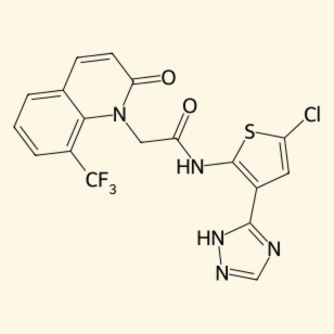 O=C(Cn1c(=O)ccc2cccc(C(F)(F)F)c21)Nc1sc(Cl)cc1-c1ncn[nH]1